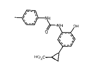 Cc1ccc(NC(=O)Nc2cc(C3CC3C(=O)O)ccc2O)cc1